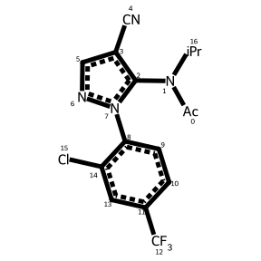 CC(=O)N(c1c(C#N)cnn1-c1ccc(C(F)(F)F)cc1Cl)C(C)C